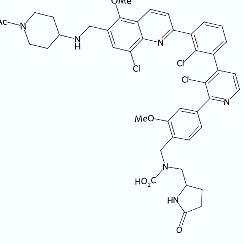 COc1cc(-c2nccc(-c3cccc(-c4ccc5c(OC)c(CNC6CCN(C(C)=O)CC6)cc(Cl)c5n4)c3Cl)c2Cl)ccc1CN(CC1CCC(=O)N1)C(=O)O